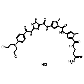 Cl.Cn1cc(NC(=O)c2cc(NC(=O)c3nc(NC(=O)c4ccc(N(CCCl)CCCl)cc4)n[nH]3)cn2C)cc1C(=O)NCCC(=N)N